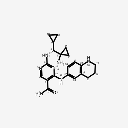 NC(=O)c1cnc(N[C@H](C2CC2)C2(N)CC2)nc1Nc1ccc2c(c1)CCCN2